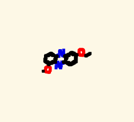 CCOc1ccc2nc3c(OC)cccc3nc2c1